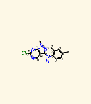 Cc1ccc(Nc2nn(C)c3nc(Cl)ncc23)c(C)c1